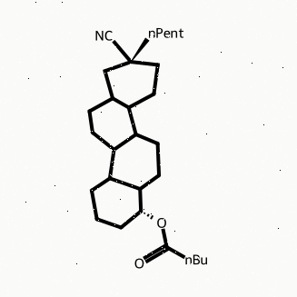 CCCCC[C@@]1(C#N)CCC2C(CCC3C2CCC2C3CCC[C@H]2OC(=O)CCCC)C1